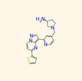 N[C@H]1CCN(Cc2ccnc(-c3cnn4ccc(-c5cccs5)nc34)c2)C1